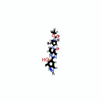 Cc1c(O)c(-c2ncc3c(=O)n(C4C[C@@H]5C[C@H]4CN5C(=O)OC(C)(C)C)ccc3n2)cc2cn(C)nc12